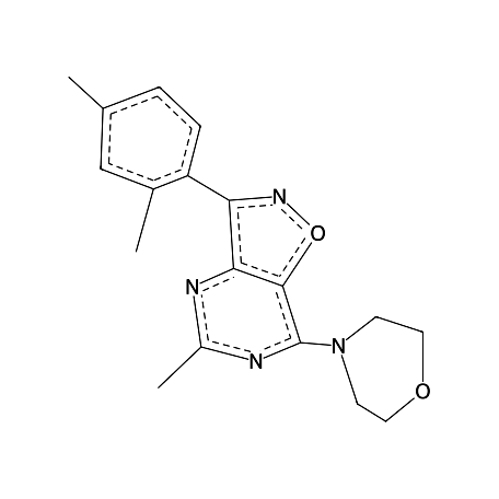 Cc1ccc(-c2noc3c(N4CCOCC4)nc(C)nc23)c(C)c1